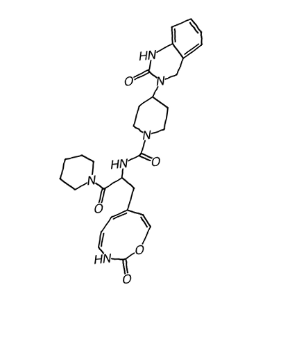 O=C(NC(Cc1ccc[nH]c(=O)occ1)C(=O)N1CCCCC1)N1CCC(N2Cc3ccccc3NC2=O)CC1